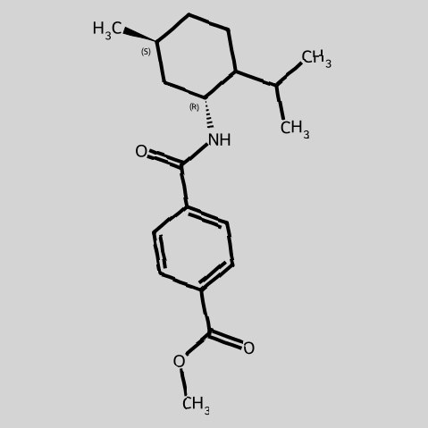 COC(=O)c1ccc(C(=O)N[C@@H]2C[C@@H](C)CCC2C(C)C)cc1